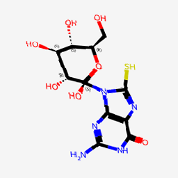 Nc1nc2c(nc(S)n2[C@@]2(O)O[C@H](CO)[C@@H](O)[C@H](O)[C@H]2O)c(=O)[nH]1